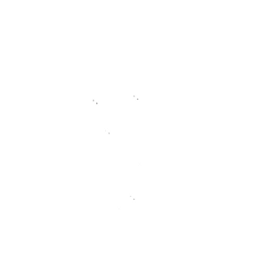 c1ccc(-c2cnc(-n3ccc4c5c6ccccc6n(-c6ccccc6)c5ccc43)cn2)cc1